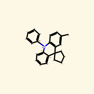 Cc1ccc2c(c1)C1(CCCC1)c1ccccc1N2c1ccccc1